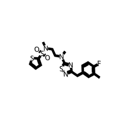 Cc1cc(Cc2nsc(N(C)CCN(C)S(=O)(=O)c3cccs3)n2)ccc1F